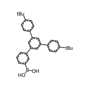 CC(C)(C)c1ccc(-c2cc(-c3ccc(C(C)(C)C)cc3)cc(-c3cccc(B(O)O)c3)c2)cc1